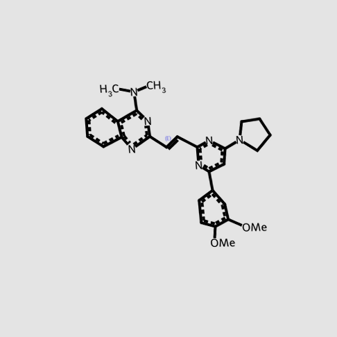 COc1ccc(-c2cc(N3CCCC3)nc(/C=C/c3nc(N(C)C)c4ccccc4n3)n2)cc1OC